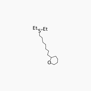 CC[S+](CC)CCCCCCCC1CCCCO1